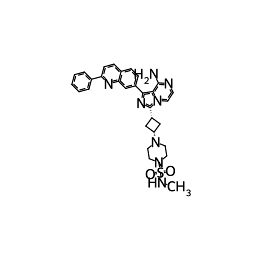 CNS(=O)(=O)N1CCN([C@H]2C[C@@H](c3nc(-c4ccc5ccc(-c6ccccc6)nc5c4)c4c(N)nccn43)C2)CC1